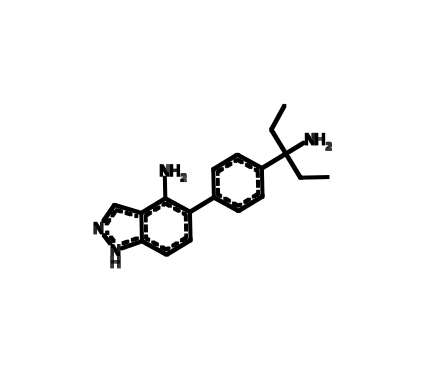 CCC(N)(CC)c1ccc(-c2ccc3[nH]ncc3c2N)cc1